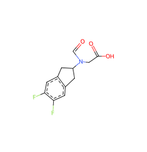 O=CN(CC(=O)O)C1Cc2cc(F)c(F)cc2C1